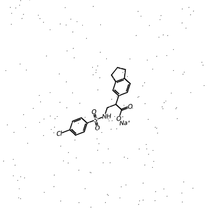 O=C([O-])C(CNS(=O)(=O)c1ccc(Cl)cc1)c1ccc2c(c1)CCC2.[Na+]